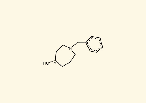 O[C@H]1CCCN(Cc2ccccc2)CC1